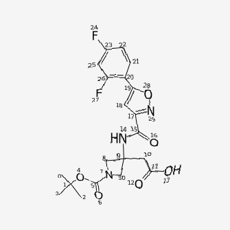 CC(C)(C)OC(=O)N1CC(CC(=O)O)(NC(=O)c2cc(-c3ccc(F)cc3F)on2)C1